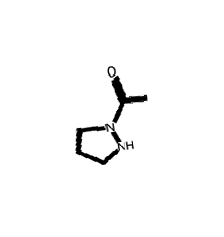 CC(=O)N1CCCN1